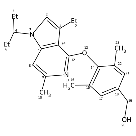 CCc1cn(C(CC)CC)c2cc(C)nc(Oc3c(C)cc(CO)cc3C)c12